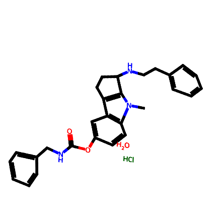 Cl.Cn1c2c(c3cc(OC(=O)NCc4ccccc4)ccc31)CCC2NCCc1ccccc1.O